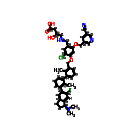 Cc1c(COc2cc(OCc3cncc(C#N)c3)c(CNC[C@@H](O)CC(=O)O)cc2Cl)cccc1-c1cccc(-c2cc3c(cc2F)C(N(C)C)CC3)c1C